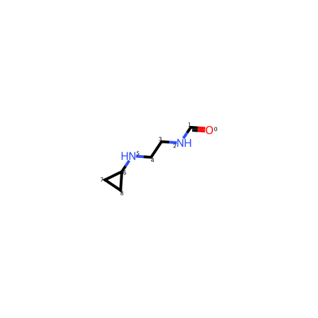 O=CNCCNC1CC1